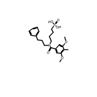 COc1cc(C(=O)N(CCCCP(=O)(O)O)CCCc2ccccc2)cc(OC)c1C